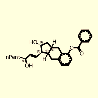 CCCCC[C@H](O)C=C[C@@H]1[C@H]2Cc3cccc(OC(=O)c4ccccc4)c3C[C@H]2C[C@H]1O